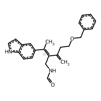 C=C(CCOCc1ccccc1)/C(CNC=O)=C(\C)c1ccc2[nH]ccc2c1